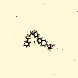 Cc1cccnc1-c1nnc(-c2n[nH]c3ncc(-c4ccc5c(c4)CC[C@@H](N4C6COCC4C6)CC5)cc23)o1